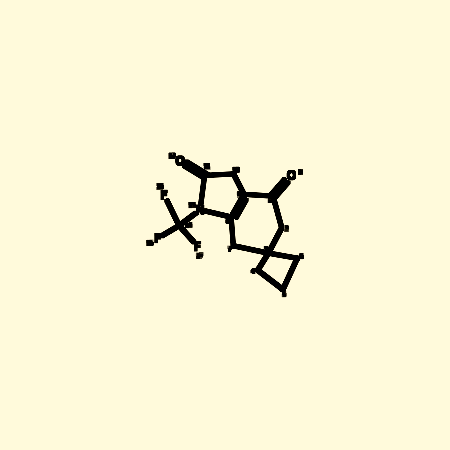 O=C1CC2(CCC2)CC2=C1CC(=O)N2C(F)(F)F